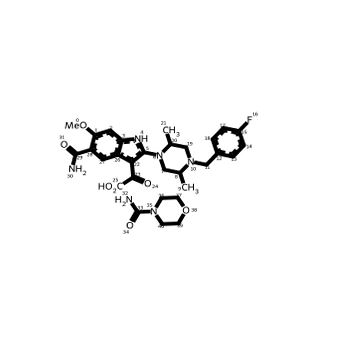 COc1cc2[nH]c(N3CC(C)N(Cc4ccc(F)cc4)CC3C)c(C(=O)C(=O)O)c2cc1C(N)=O.NC(=O)N1CCOCC1